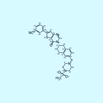 CS(=O)(=O)N1CCN(Cc2ccc3c(c2)CC[C@H](n2cnc4cc(-c5cccc(C#N)c5)sc4c2=O)C3)CC1